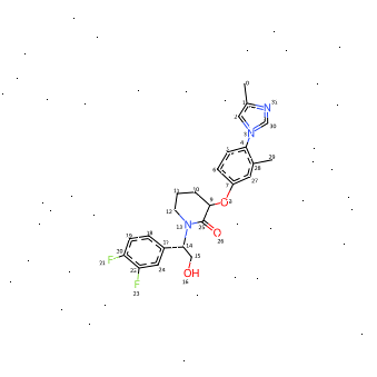 Cc1cn(-c2ccc(OC3CCCN(C(CO)c4ccc(F)c(F)c4)C3=O)cc2C)cn1